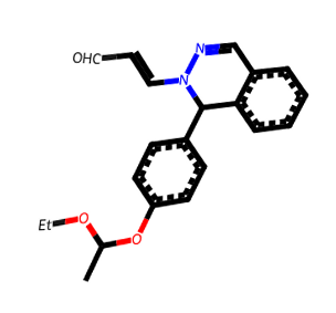 CCOC(C)Oc1ccc(C2c3ccccc3C=NN2C=CC=O)cc1